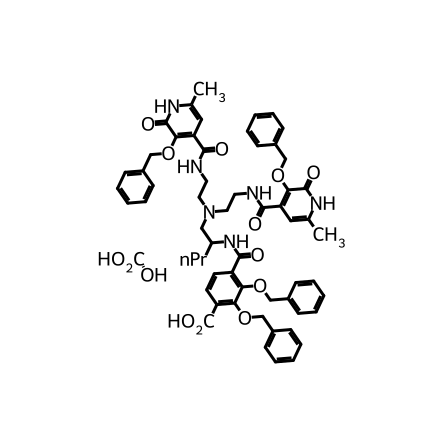 CCCC(CN(CCNC(=O)c1cc(C)[nH]c(=O)c1OCc1ccccc1)CCNC(=O)c1cc(C)[nH]c(=O)c1OCc1ccccc1)NC(=O)c1ccc(C(=O)O)c(OCc2ccccc2)c1OCc1ccccc1.O=C(O)O